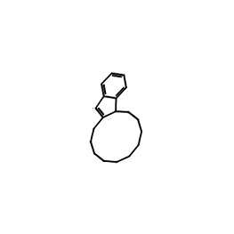 [C]1=C2CCCCCCCCCCC2c2ccccc21